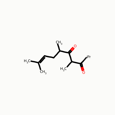 CC(C)=CCC(C)C(=O)C(C)C(=O)C(C)C